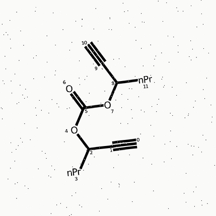 C#CC(CCC)OC(=O)OC(C#C)CCC